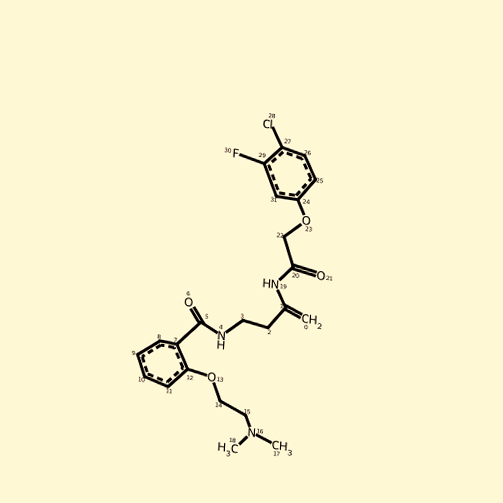 C=C(CCNC(=O)c1ccccc1OCCN(C)C)NC(=O)COc1ccc(Cl)c(F)c1